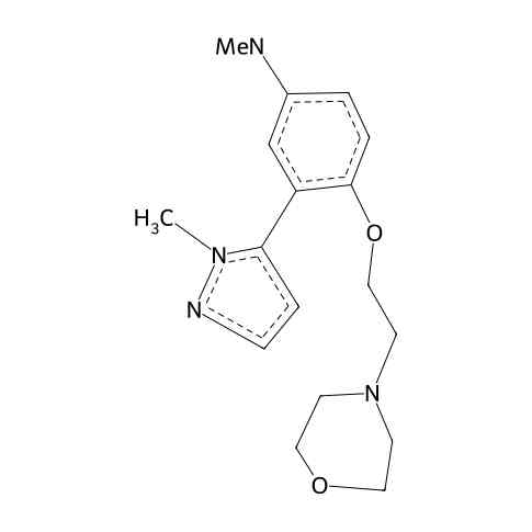 CNc1ccc(OCCN2CCOCC2)c(-c2ccnn2C)c1